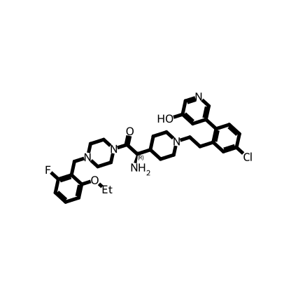 CCOc1cccc(F)c1CN1CCN(C(=O)[C@H](N)C2CCN(CCc3cc(Cl)ccc3-c3cncc(O)c3)CC2)CC1